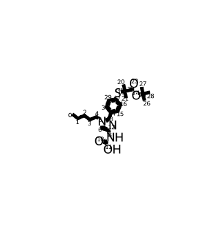 CCCCCn1cc(NC(=O)O)nc1-c1ccc(SC(C)(C)C(=O)OC(C)(C)C)cc1